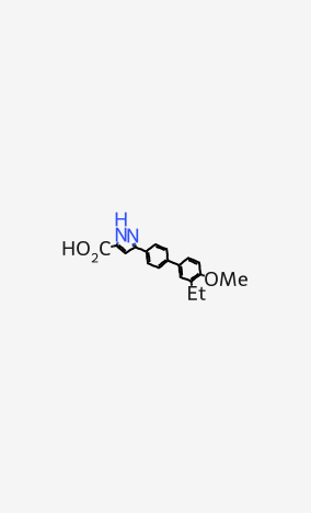 CCc1cc(-c2ccc(-c3cc(C(=O)O)[nH]n3)cc2)ccc1OC